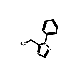 CCc1ncnn1-c1cc[c]cc1